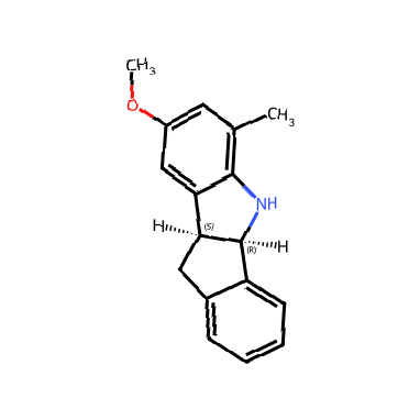 COc1cc(C)c2c(c1)[C@@H]1Cc3ccccc3[C@@H]1N2